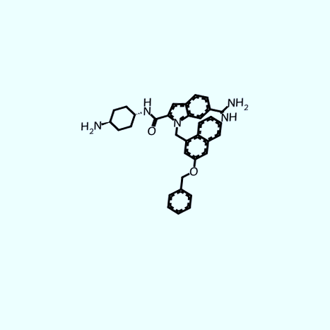 N=C(N)c1ccc2cc(C(=O)N[C@H]3CC[C@H](N)CC3)n(Cc3cc(OCc4ccccc4)cc4ccccc34)c2c1